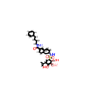 CC(C)c1cc(S(=O)(=O)Nc2ccc3cc(C(=O)NCCCCc4ccccc4)ccc3c2)c(O)c(O)c1O